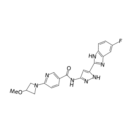 COC1CN(c2ccc(C(=O)Nc3cc(-c4nc5cc(F)ccc5[nH]4)[nH]n3)cn2)C1